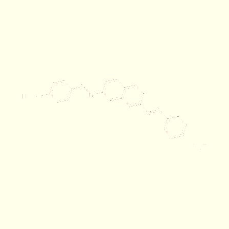 O=C(O)c1ccc(/N=N/c2ccc3ccc(/N=N/c4ccc(C(=O)O)cc4)cc3c2)cc1